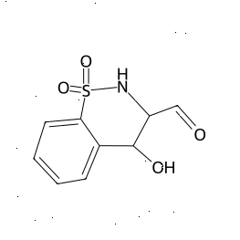 O=CC1NS(=O)(=O)c2ccccc2C1O